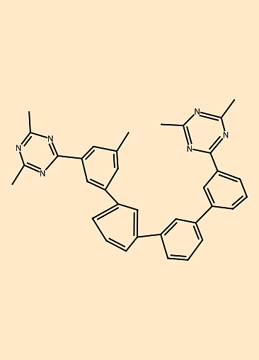 Cc1cc(-c2cccc(-c3cccc(-c4cccc(-c5nc(C)nc(C)n5)c4)c3)c2)cc(-c2nc(C)nc(C)n2)c1